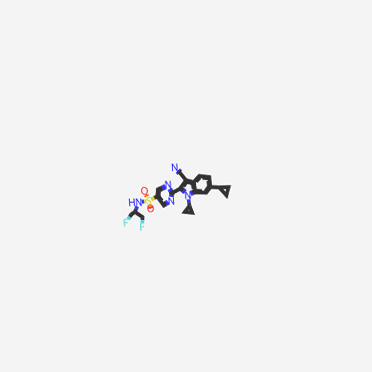 N#Cc1c(-c2ncc(S(=O)(=O)NC(CF)CF)cn2)n(C2CC2)c2cc(C3CC3)ccc12